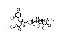 CCOC(=O)c1sc(N2C[C@@H]3[C@H](C2)[C@H]3NC(=O)c2[nH]c(C)c(Cl)c2Cl)nc1Cc1ccc(Cl)cc1Cl